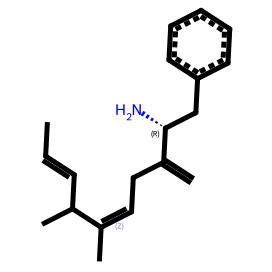 C=C(C/C=C(/C)C(C)C=CC)[C@H](N)Cc1ccccc1